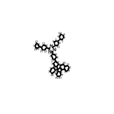 c1ccc(-c2ccc(-c3nc(-c4ccc(-c5ccccc5)cc4)nc(-c4ccc(-c5ccc(C6(c7ccccc7)c7ccccc7-c7c6ccc6ccccc76)cc5)cc4)n3)cc2)cc1